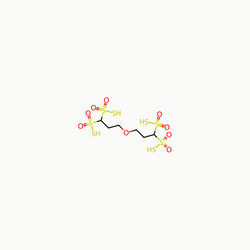 O=S(=O)(S)C(CCOCCC(S(=O)(=O)S)S(=O)(=O)S)S(=O)(=O)S